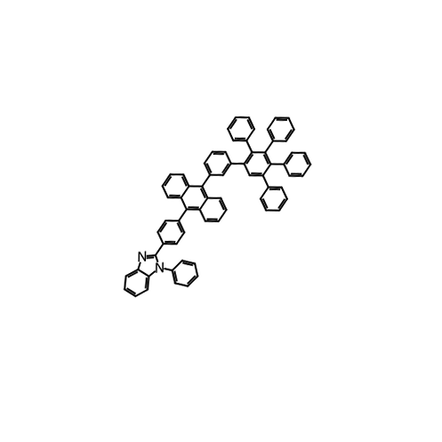 c1ccc(-c2cc(-c3cccc(-c4c5ccccc5c(-c5ccc(-c6nc7ccccc7n6-c6ccccc6)cc5)c5ccccc45)c3)c(-c3ccccc3)c(-c3ccccc3)c2-c2ccccc2)cc1